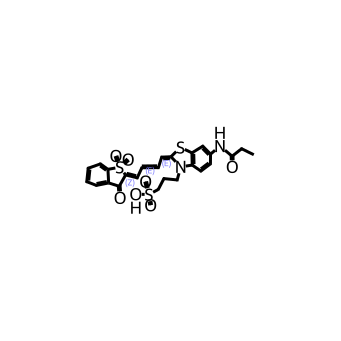 CCC(=O)Nc1ccc2c(c1)S/C(=C/C=C/C=C1/C(=O)c3ccccc3S1(=O)=O)N2CCCS(=O)(=O)O